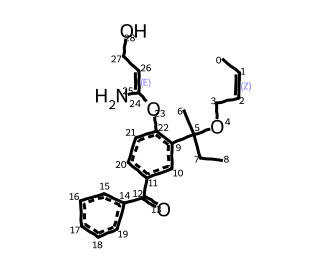 C/C=C\COC(C)(CC)c1cc(C(=O)c2ccccc2)ccc1O/C(N)=C/CO